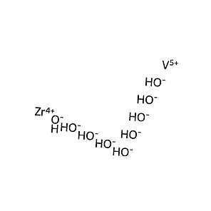 [OH-].[OH-].[OH-].[OH-].[OH-].[OH-].[OH-].[OH-].[OH-].[V+5].[Zr+4]